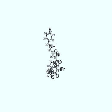 CC(C)[C@H]1C(=O)N(S(C)(=O)=O)[C@H]2CCN(C(=O)c3cc(CNCc4ccc(F)cc4)on3)[C@H]12